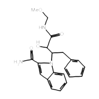 COCNC(=O)C(O)C(Cc1ccccc1)n1c(C(N)=O)cc2ccccc21